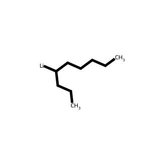 [Li][CH](CCC)CCCCC